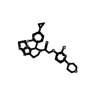 O=C(COc1ccc(N2CCOCC2)nc1Cl)N1CCc2nc3sccn3c2C1c1ccc(C2CC2)cc1F